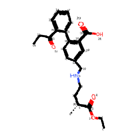 CCOC(=O)[C@H](C)CCNCc1ccc(-c2ccccc2C(=O)CC)c(C(=O)O)c1